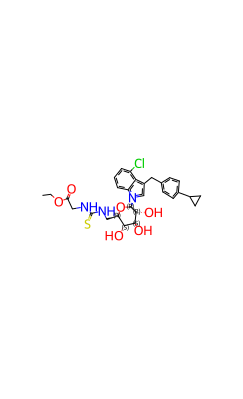 CCOC(=O)CNC(=S)NC[C@H]1O[C@@H](n2cc(Cc3ccc(C4CC4)cc3)c3c(Cl)cccc32)[C@H](O)[C@@H](O)[C@@H]1O